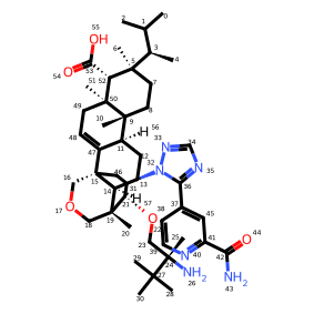 CC(C)[C@@H](C)[C@@]1(C)CC[C@]2(C)[C@H]3CC[C@@H]4[C@@]5(COC[C@@]4(C)[C@@H](OC[C@](C)(N)C(C)(C)C)[C@H](n4ncnc4-c4ccnc(C(N)=O)c4)C5)C3=CC[C@@]2(C)[C@@H]1C(=O)O